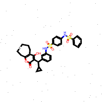 O=c1oc2c(c(O)c1C(c1cccc(NS(=O)(=O)c3ccc(NS(=O)(=O)c4ccccc4)cc3)c1)C1CC1)CCCCCC2